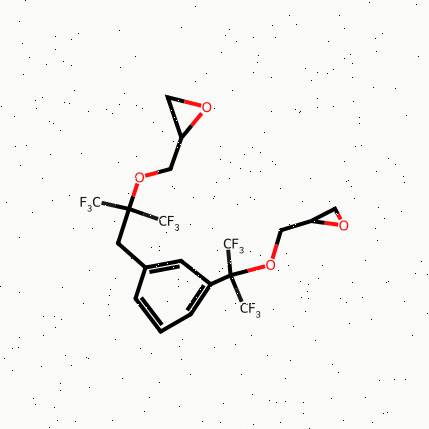 FC(F)(F)C(Cc1cccc(C(OCC2CO2)(C(F)(F)F)C(F)(F)F)c1)(OCC1CO1)C(F)(F)F